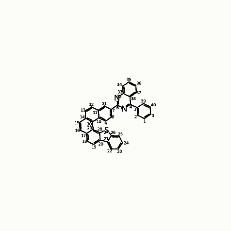 c1ccc(-c2nc(-c3ccc4c(ccc5ccc6ccc7c8ccccc8sc7c6c54)c3)nc3ccccc23)cc1